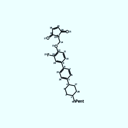 CCCCCC1CCC(c2ccc(-c3ccc(OCN4C(=O)C=CC4=O)c(F)c3)cc2)CC1